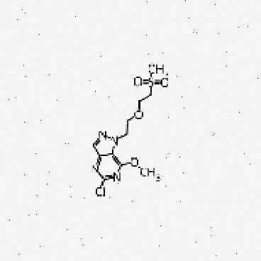 COc1nc(Cl)nc2cnn(CCOCCS(C)(=O)=O)c12